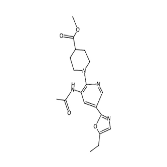 CCc1cnc(-c2cnc(N3CCC(C(=O)OC)CC3)c(NC(C)=O)c2)o1